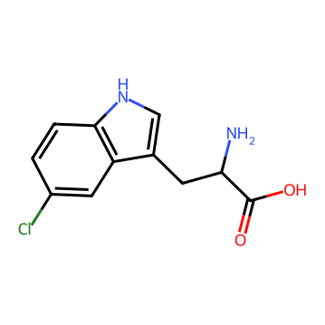 NC(Cc1c[nH]c2ccc(Cl)cc12)C(=O)O